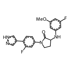 COc1cc(F)cc(NC2CCN(c3ccc(-c4cn[nH]c4)c(F)c3)C2=O)c1